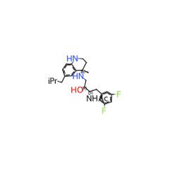 CC(=O)N[C@@H](Cc1cc(F)cc(F)c1)[C@H](O)CN[C@@]1(C)CCNc2ccc(CC(C)C)cc21